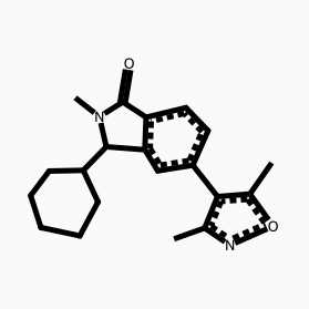 Cc1noc(C)c1-c1ccc2c(c1)C(C1CCCCC1)N(C)C2=O